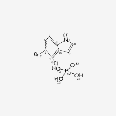 Clc1c(Br)ccc2[nH]ccc12.O=P(O)(O)O